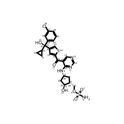 NS(=O)(=O)OC[C@H]1C[C@@H](Nc2ncncc2C(=O)c2cc([C@@](O)(c3cccc(Cl)c3)C3CC3)cs2)C[C@@H]1O